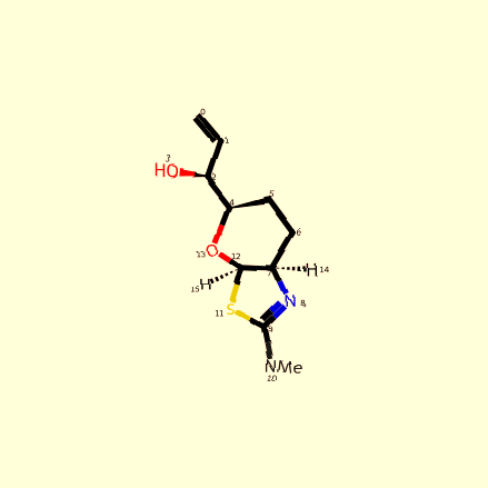 C=C[C@H](O)[C@H]1CC[C@H]2N=C(NC)S[C@H]2O1